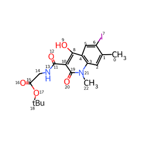 Cc1cc2c(cc1I)c(O)c(C(=O)NCC(=O)OC(C)(C)C)c(=O)n2C